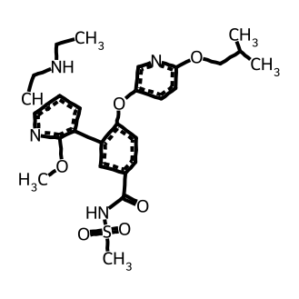 CCNCC.COc1ncccc1-c1cc(C(=O)NS(C)(=O)=O)ccc1Oc1ccc(OCC(C)C)nc1